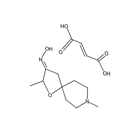 CC1OC2(CCN(C)CC2)CC1=NO.O=C(O)/C=C/C(=O)O